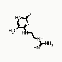 Cc1c[nH]c(=O)nc1NCCNC(=N)N